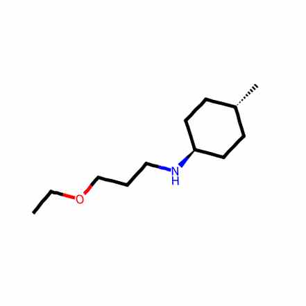 CCOCCCN[C@H]1CC[C@H](C)CC1